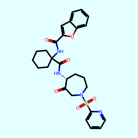 O=C(NC1(C(=O)N[C@@H]2CCCN(S(=O)(=O)c3ccccn3)CC2=O)CCCCC1)c1cc2ccccc2o1